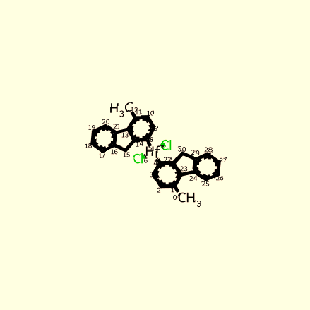 Cc1cc[c]([Hf]([Cl])([Cl])[c]2ccc(C)c3c2Cc2ccccc2-3)c2c1-c1ccccc1C2